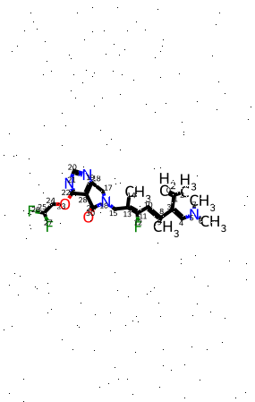 C=C(C)C(=C\N(C)C)/C(C)=C/C(F)=C(\C)CN1Cc2ncnc(OCC(F)F)c2C1=O